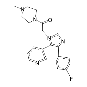 CN1CCN(C(=O)Cn2cnc(-c3ccc(F)cc3)c2-c2cccnc2)CC1